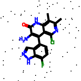 Cc1nc(Cl)c2c(-c3ccc(F)c4[nH]ncc34)c(N)c(=O)[nH]c2c1C